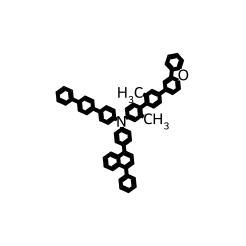 Cc1cc(-c2ccc3oc4ccccc4c3c2)ccc1-c1ccc(N(c2ccc(-c3ccc(-c4ccccc4)cc3)cc2)c2ccc(-c3ccc(-c4ccccc4)c4ccccc34)cc2)cc1C